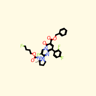 C[C@@]1(NC(=O)OCCCCF)CCCN1c1nc2c(-c3ccc(F)cc3F)cc(C(=O)OCc3ccccc3)c(=O)n2cc1F